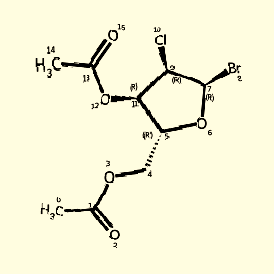 CC(=O)OC[C@H]1O[C@H](Br)[C@H](Cl)[C@@H]1OC(C)=O